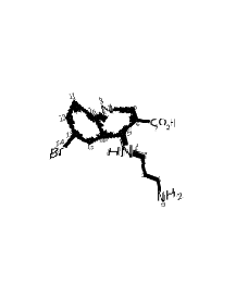 NCCCNc1c(C(=O)O)cnc2ccc(Br)cc12